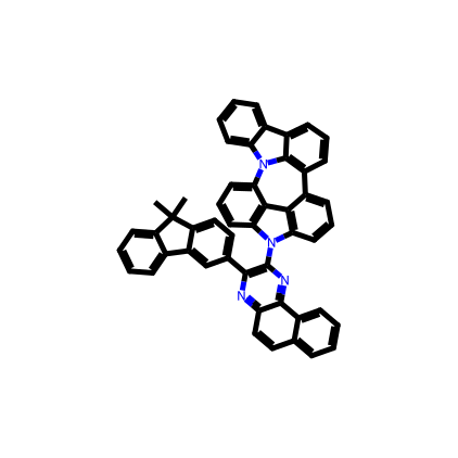 CC1(C)c2ccccc2-c2cc(-c3nc4ccc5ccccc5c4nc3-n3c4cccc5c6cccc7c8ccccc8n(c8cccc3c8c54)c67)ccc21